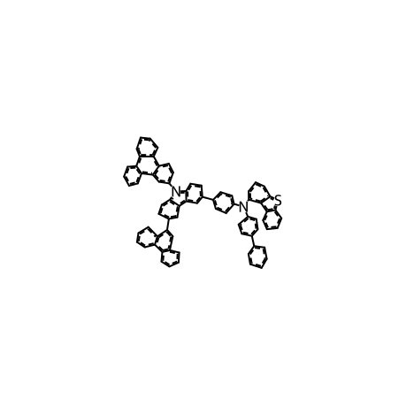 c1ccc(-c2ccc(N(c3ccc(-c4ccc5c(c4)c4cc(-c6cc7ccccc7c7ccccc67)ccc4n5-c4ccc5c6ccccc6c6ccccc6c5c4)cc3)c3cccc4sc5ccccc5c34)cc2)cc1